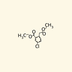 CCOC(=O)Cc1ccc(Cl)cc1C(=O)OCC